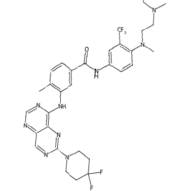 Cc1ccc(C(=O)Nc2ccc(N(C)CCN(C)C)c(C(F)(F)F)c2)cc1Nc1ncnc2cnc(N3CCC(F)(F)CC3)nc12